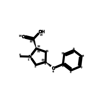 CN1C[C@@H](Oc2ccccc2)C[C@H]1C(=O)O